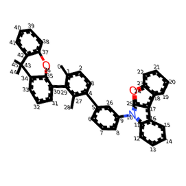 Cc1ccc(-c2cccc(-n3c4ccccc4c4c5ccccc5oc43)c2)c(C)c1-c1cccc2c1Oc1ccccc1C2(C)C